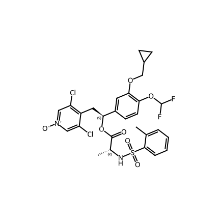 Cc1ccccc1S(=O)(=O)N[C@H](C)C(=O)O[C@@H](Cc1c(Cl)c[n+]([O-])cc1Cl)c1ccc(OC(F)F)c(OCC2CC2)c1